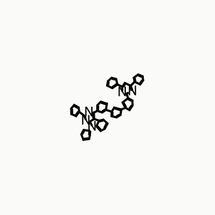 c1ccc(-c2cc(-c3ccccc3)nc(-c3cccc(-c4cccc(-c5cccc(-c6nc(-c7ccccc7)nc7c6c6ccccc6n7-c6ccccc6)c5)c4)c3)n2)cc1